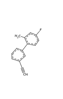 C#Cc1cccc(-c2ccc(F)cc2C)c1